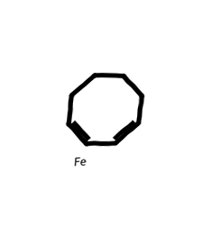 C1=CCCCCC=C1.[Fe]